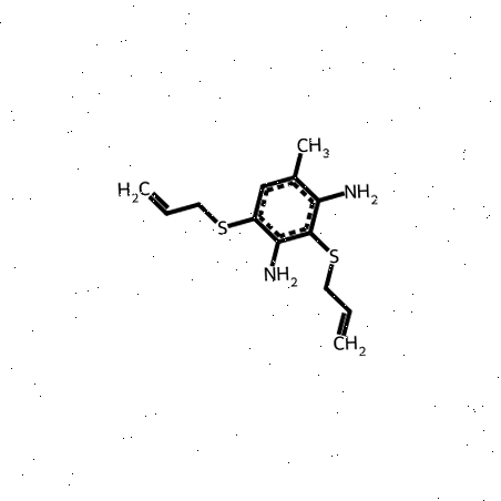 C=CCSc1cc(C)c(N)c(SCC=C)c1N